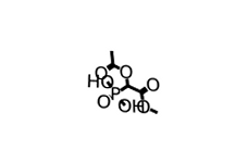 COC(=O)C(OC(C)=O)P(=O)(O)O